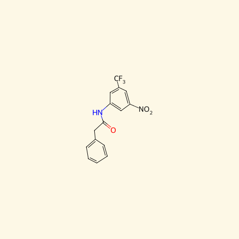 O=C(Cc1ccccc1)Nc1cc([N+](=O)[O-])cc(C(F)(F)F)c1